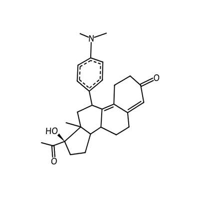 CC(=O)[C@@]1(O)CCC2C3CCC4=CC(=O)CCC4=C3C(c3ccc(N(C)C)cc3)CC21C